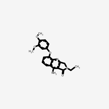 CCN1Cc2nc3c(Oc4ccc(OC)c(OC)c4)cccc3c(N)c2C1=O